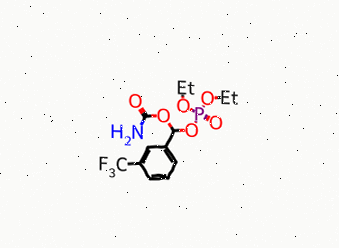 CCOP(=O)(OCC)OC(OC(N)=O)c1cccc(C(F)(F)F)c1